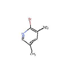 Cc1cnc(Br)c(N=O)c1